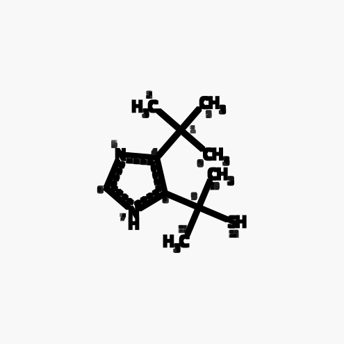 CC(C)(C)c1nc[nH]c1C(C)(C)S